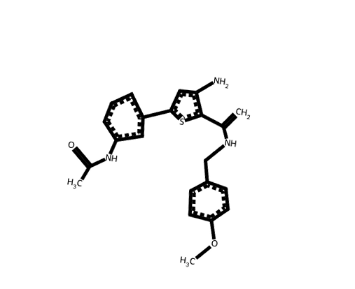 C=C(NCc1ccc(OC)cc1)c1sc(-c2cccc(NC(C)=O)c2)cc1N